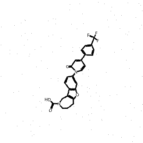 O=C(O)N1CCCc2oc3cc(-n4ccc(-c5ccc(C(F)(F)F)cc5)cc4=O)ccc3c2C1